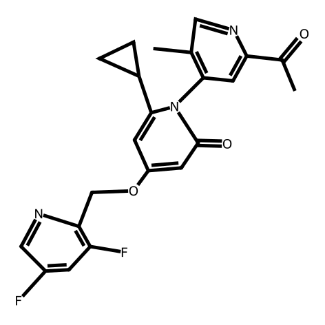 CC(=O)c1cc(-n2c(C3CC3)cc(OCc3ncc(F)cc3F)cc2=O)c(C)cn1